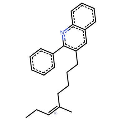 CC/C=C(/C)CCCCc1cc2ccccc2nc1-c1ccccc1